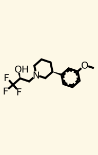 COc1cccc([C@@H]2CCCN(C[C@H](O)C(F)(F)F)C2)c1